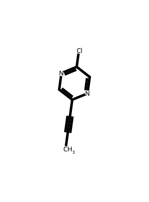 CC#Cc1cnc(Cl)cn1